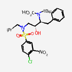 CC(C)CN(C[C@@H](O)[C@H](Cc1ccccc1)N(C(=O)O)C(C)(C)C)S(=O)(=O)c1ccc(Cl)c([N+](=O)[O-])c1